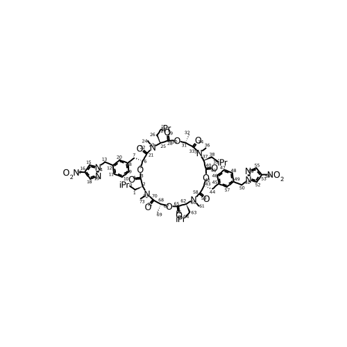 CC(C)C[C@H]1C(=O)O[C@H](Cc2cccc(Cn3cc([N+](=O)[O-])cn3)c2)C(=O)N(C)[C@@H](CC(C)C)C(=O)O[C@H](C)C(=O)N(C)[C@@H](CC(C)C)C(=O)O[C@H](Cc2cccc(Cn3cc([N+](=O)[O-])cn3)c2)C(=O)N(C)[C@@H](CC(C)C)C(=O)O[C@H](C)C(=O)N1C